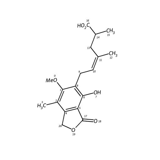 COc1c(C)c2c(c(O)c1CC=C(C)CC(C)C(=O)O)C(=O)OC2